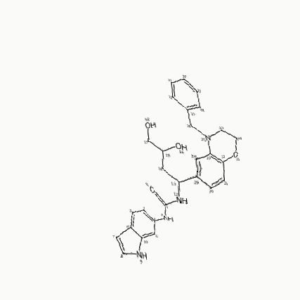 O=C(Nc1ccc2cc[nH]c2c1)NC(CC(O)CO)c1ccc2c(c1)N(Cc1ccccc1)CCO2